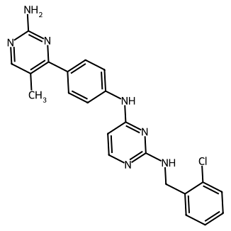 Cc1cnc(N)nc1-c1ccc(Nc2ccnc(NCc3ccccc3Cl)n2)cc1